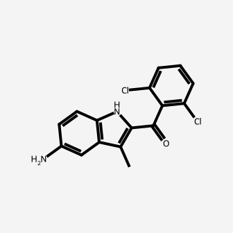 Cc1c(C(=O)c2c(Cl)cccc2Cl)[nH]c2ccc(N)cc12